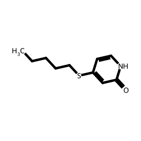 CCCCCSc1cc[nH]c(=O)c1